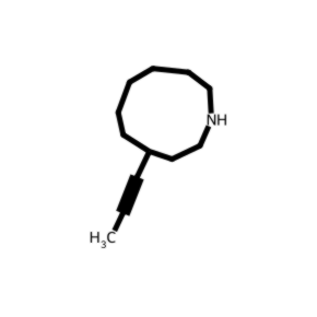 CC#CC1CCCCCCNCC1